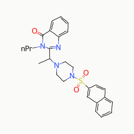 CCCn1c(C(C)N2CCN(S(=O)(=O)c3ccc4ccccc4c3)CC2)nc2ccccc2c1=O